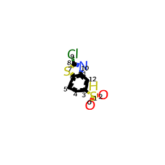 O=[SH](=O)c1ccc2sc(Cl)nc2c1